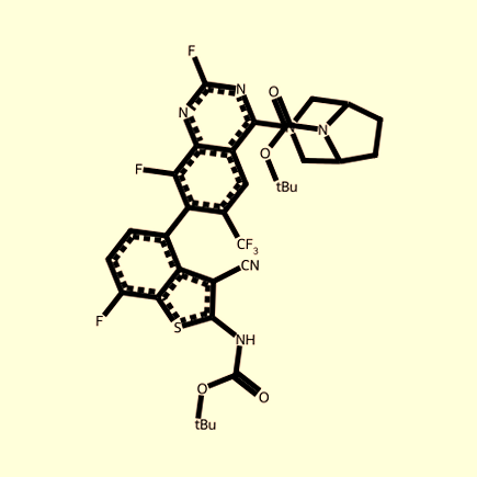 CC(C)(C)OC(=O)Nc1sc2c(F)ccc(-c3c(C(F)(F)F)cc4c(N5CC6CCC(C5)N6C(=O)OC(C)(C)C)nc(F)nc4c3F)c2c1C#N